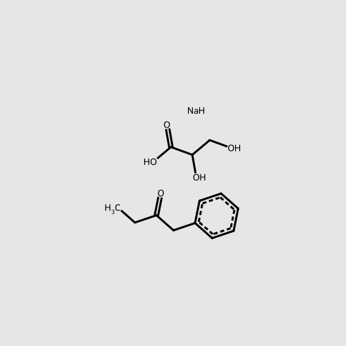 CCC(=O)Cc1ccccc1.O=C(O)C(O)CO.[NaH]